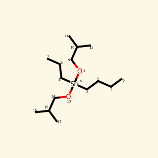 CCC[CH2][Sn]([CH2]CC)([O]CC(C)C)[O]CC(C)C